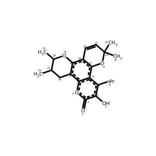 CCCc1c(O)c(=O)oc2c3c(c4c(c12)OC(C)(C)C=C4)OC(C)C(C)C3